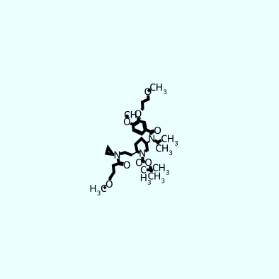 COCCCOc1cc(C(=O)N(C(C)C)[C@@H]2CC[C@H](CCN(C(=O)CCCOC)C3CC3)N(C(=O)OC(C)(C)C)C2)ccc1OC